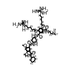 COc1cc(OC)c(C(=O)N[C@H]2CC[C@@H](NC(=O)c3cc(C(=O)NCCN(C)C)c(OCCCCCNC(=N)N)cc3OCCCCCNC(=N)N)CC2)cc1C(=O)NC1CCCCC1